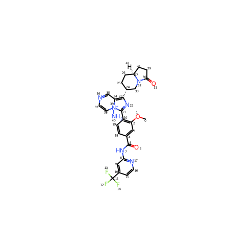 COc1cc(C(=O)Nc2cc(C(F)(F)F)ccn2)ccc1C1=NC([C@@H]2CC[C@H]3CCC(=O)N3C2)=C2C=NC=C[N+]12N